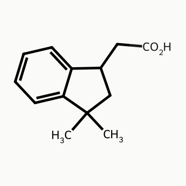 CC1(C)CC(CC(=O)O)c2ccccc21